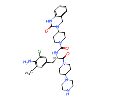 Cc1cc(C[C@@H](NC(=O)N2CCC(N3Cc4ccccc4NC3=O)CC2)C(=O)N2CCC(N3CCNCC3)CC2)cc(Cl)c1N